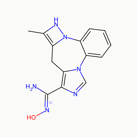 Cc1[nH]n2c1Cc1c(/C(N)=N/O)ncn1-c1ccccc1-2